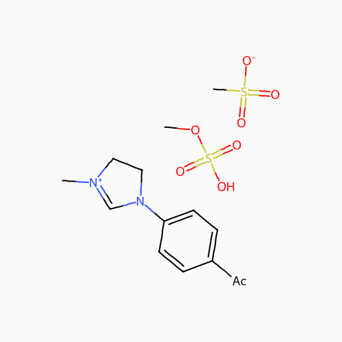 CC(=O)c1ccc(N2C=[N+](C)CC2)cc1.COS(=O)(=O)O.CS(=O)(=O)[O-]